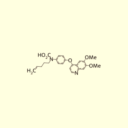 C=CCCCN(C(=O)O)c1ccc(Oc2ccnc3cc(OC)c(OC)cc23)cc1